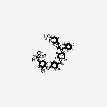 Cc1ccc(NC(=O)N(c2ccccc2)C2CCN(Cc3ccc(Oc4ccc(NS(C)(=O)=O)cc4Cl)nc3)CC2)cn1